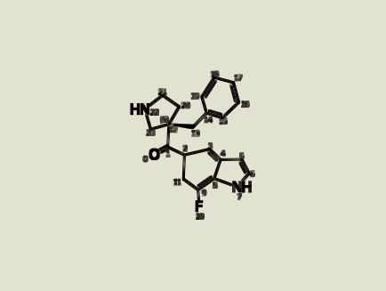 O=C(C1C=c2cc[nH]c2=C(F)C1)[C@@]1(Cc2ccccc2)CCNC1